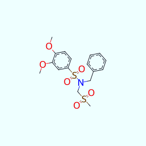 COc1ccc(S(=O)(=O)N(Cc2ccccc2)CS(C)(=O)=O)cc1OC